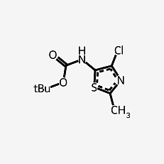 Cc1nc(Cl)c(NC(=O)OC(C)(C)C)s1